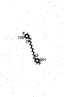 O=C(CCCCCCCCC(=O)Oc1ccc(F)c(O)c1)Oc1ccc(F)c(O)c1